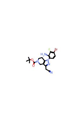 CC(C)(C)OC(=O)N1CCc2c(c(CC#N)nn2-c2ccc(Br)c(F)c2N)C1